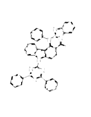 O=c1c2ccc3c(c4ccccc4n3-c3nc(-c4ccccc4)nc(-c4ccccc4)n3)c2n(-c2ccccc2)c2nc3ccccc3n12